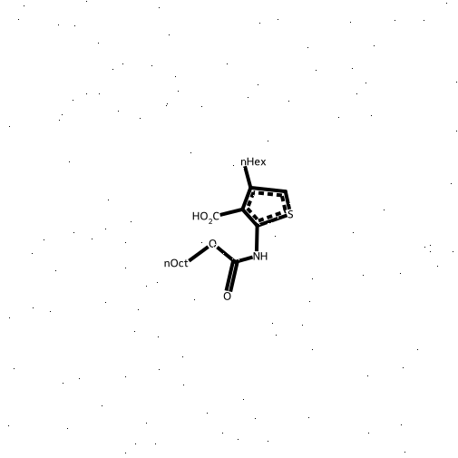 CCCCCCCCOC(=O)Nc1scc(CCCCCC)c1C(=O)O